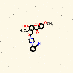 CCc1c(O)cc(O)c(C(=O)c2ccc(OC)cc2)c1CC(=O)N1CCN(c2ccccc2C#N)CC1